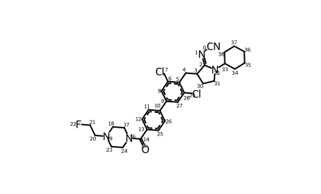 N#CN=C1C(Cc2c(Cl)cc(-c3ccc(C(=O)N4CCN(CCF)CC4)cc3)cc2Cl)CCN1C1CCCCC1